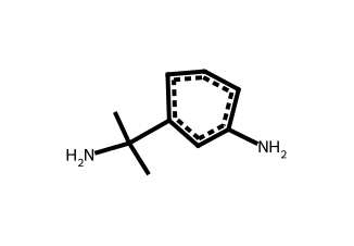 CC(C)(N)c1cccc(N)c1